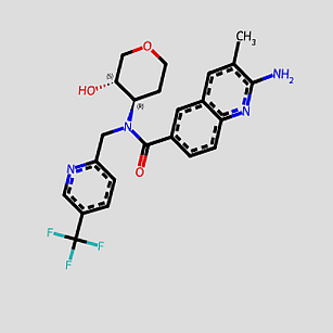 Cc1cc2cc(C(=O)N(Cc3ccc(C(F)(F)F)cn3)[C@@H]3CCOC[C@H]3O)ccc2nc1N